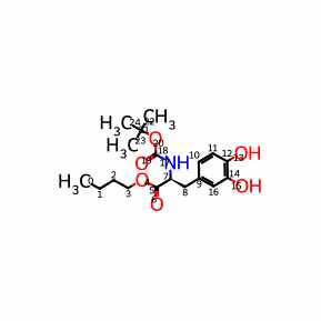 CCCCOC(=O)[C@H](Cc1ccc(O)c(O)c1)NC(=O)OC(C)(C)C